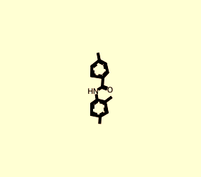 Cc1ccc(C(=O)Nc2ccc(C)cc2C)cc1